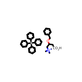 C[N+](C)(C)CC(CC(=O)O)OCc1ccccc1.c1ccc([B-](c2ccccc2)(c2ccccc2)c2ccccc2)cc1